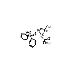 COC(=O)C[C@@H]1C[C@H](O)C[C@H]1CO[Si](c1ccccc1)(c1ccccc1)C(C)(C)C